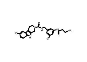 NCCC(=O)Nc1cc(Cl)cc(CNC(=O)N2CCc3c([nH]c4ccc(Cl)cc34)C2)c1